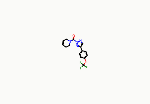 O=C(N1CC=CCC1)n1ncc(-c2ccc(OC(F)(F)F)cc2)n1